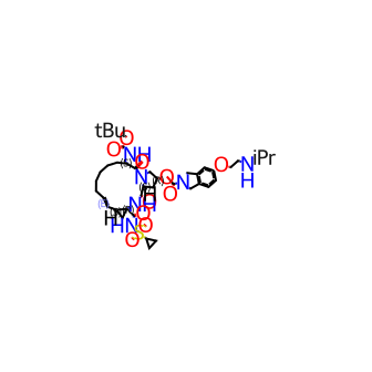 CC(C)NCCOc1ccc2c(c1)CN(C(=O)O[C@@H]1C[C@H]3C(=O)N[C@]4(C(=O)NS(=O)(=O)C5CC5)C[C@H]4/C=C/CCCCC[C@H](NC(=O)OC(C)(C)C)C(=O)N3C1)C2